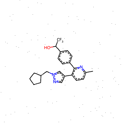 Cc1ccc(-c2cnn(CC3CCCC3)c2)c(-c2ccc(C(O)C(F)(F)F)cc2)n1